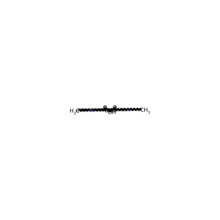 CCCCCCCC/C=C/CCCCCCCC(=O)OCC(O)COC(=O)CCCCCCC/C=C/CCCCCCCC